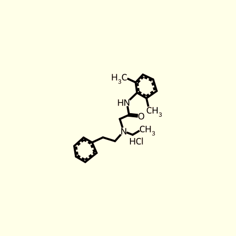 CCN(CCc1ccccc1)CC(=O)Nc1c(C)cccc1C.Cl